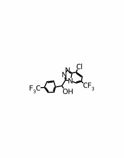 OC(c1ccc(C(F)(F)F)cc1)c1nnc2c(Cl)cc(C(F)(F)F)cn12